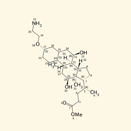 COC(=O)CC[C@@H](C)[C@H]1CC[C@H]2[C@@H]3[C@H](O)CC4C[C@@H](OCCN)CC[C@]4(C)[C@H]3C[C@H](O)[C@]12C